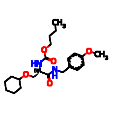 CCCCOC(=O)N[C@@H](COC1CCCCC1)C(=O)NCc1ccc(OC)cc1